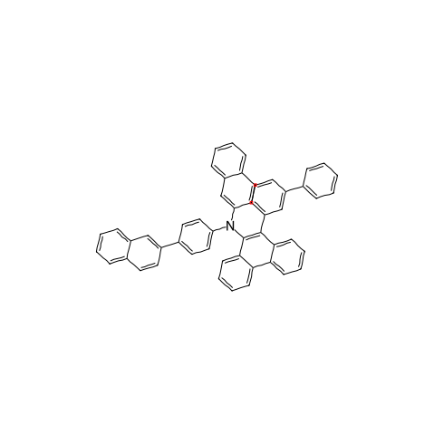 c1ccc(-c2cccc(-c3c(N(c4ccc(-c5ccc6ccccc6c5)cc4)c4ccc5ccccc5c4)c4ccccc4c4ccccc34)c2)cc1